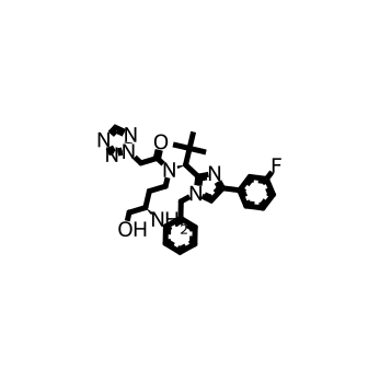 CC(C)(C)[C@H](c1nc(-c2cccc(F)c2)cn1Cc1ccccc1)N(CC[C@H](N)CO)C(=O)Cn1ncnn1